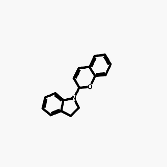 C1=CC(N2CCc3ccccc32)Oc2ccccc21